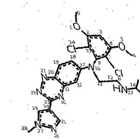 COc1cc(OC)c(Cl)c(N(CCNC(C)C)c2ccc3nnc(-c4cnn(C)c4)nc3c2)c1Cl